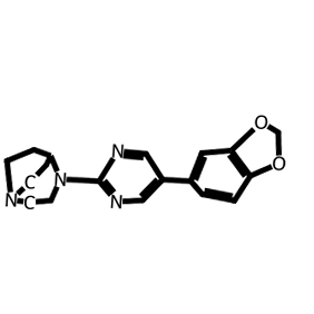 c1cc2c(cc1-c1cnc(N3CCN4CCC3CC4)nc1)OCO2